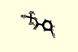 CC(C)(C)OC(=O)c1cccc(Cl)c1